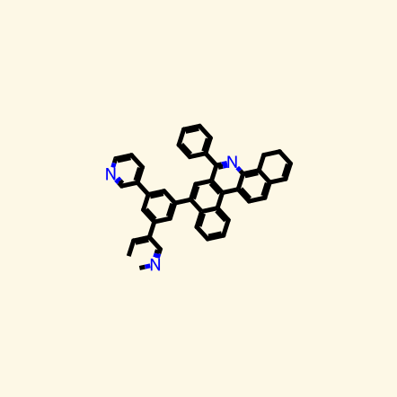 C/C=C(\C=N/C)c1cc(-c2cccnc2)cc(-c2cc3c(-c4ccccc4)nc4c5c(ccc4c3c3ccccc23)C=CCC5)c1